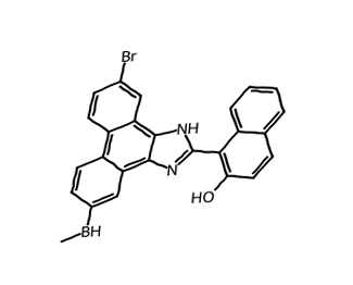 CBc1ccc2c3ccc(Br)cc3c3[nH]c(-c4c(O)ccc5ccccc45)nc3c2c1